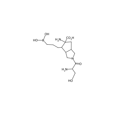 NC(CO)C(=O)N1CC2CC(N)(C(=O)O)C(CCCB(O)O)C2C1